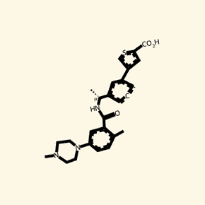 Cc1ccc(N2CCN(C)CC2)cc1C(=O)N[C@H](C)c1cccc(-c2csc(C(=O)O)c2)c1